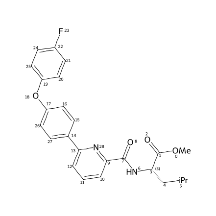 COC(=O)[C@H](CC(C)C)NC(=O)c1cccc(-c2ccc(Oc3ccc(F)cc3)cc2)n1